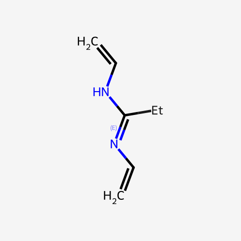 C=C/N=C(\CC)NC=C